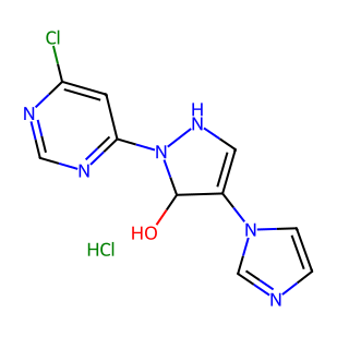 Cl.OC1C(n2ccnc2)=CNN1c1cc(Cl)ncn1